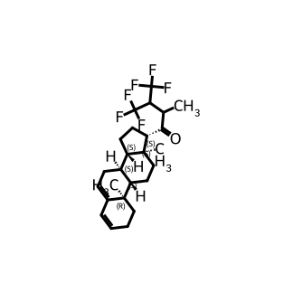 CC(C(=O)[C@H]1CC[C@H]2[C@@H]3CC=C4C=CCC[C@]4(C)[C@H]3CC[C@]12C)C(C(F)(F)F)C(F)(F)F